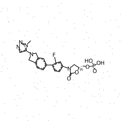 Cn1nncc1N1Cc2ccc(-c3ccc(N4C[C@H](COP(=O)(O)O)OC4=O)cc3F)cc2C1